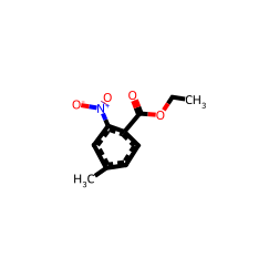 CCOC(=O)c1ccc(C)cc1[N+](=O)[O-]